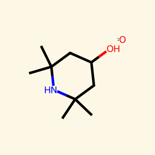 CC1(C)CC(O)CC(C)(C)N1.[O]